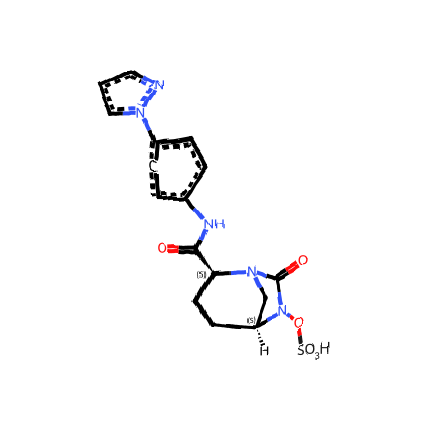 O=C(Nc1ccc(-n2cccn2)cc1)[C@@H]1CC[C@H]2CN1C(=O)N2OS(=O)(=O)O